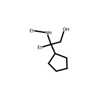 CCNC(CC)(CO)C1CCCC1